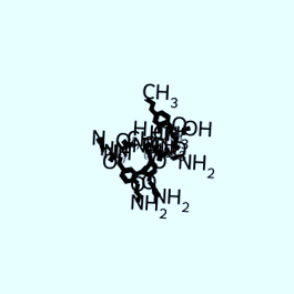 CCCCc1ccc(C(=O)N[C@H](CCO)C(=O)N[C@@H](CCN)C(=O)N(C)[C@@H]2C(=O)N[C@@H](C)C(=O)N[C@H](C(=O)NCC#N)Cc3ccc(OCCN)c(c3)-c3cc2ccc3OCCN)c(C)c1